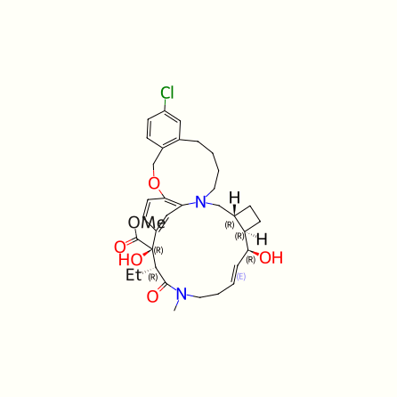 CC[C@H]1C(=O)N(C)CC/C=C/[C@H](O)[C@@H]2CC[C@H]2CN2CCCCc3cc(Cl)ccc3COc3ccc(cc32)[C@@]1(O)C(=O)OC